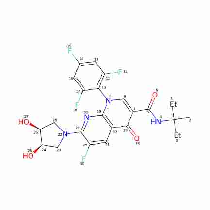 CCC(C)(CC)NC(=O)c1cn(-c2c(F)cc(F)cc2F)c2nc(N3C[C@@H](O)[C@@H](O)C3)c(F)cc2c1=O